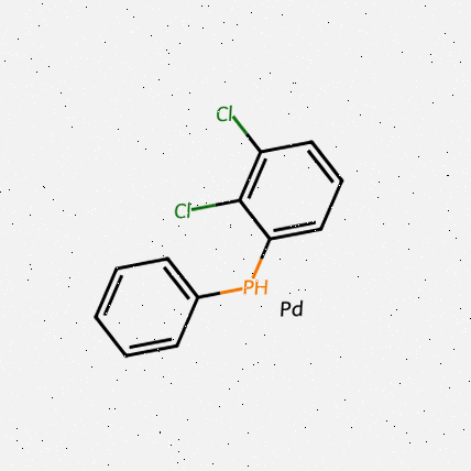 Clc1cccc(Pc2ccccc2)c1Cl.[Pd]